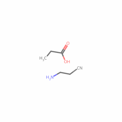 CCC(=O)O.N#CCCN